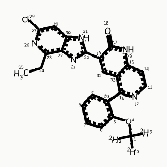 [2H]C([2H])([2H])Oc1ccccc1-c1nccc2[nH]c(=O)c(-c3nc4c(CC)nc(Cl)cc4[nH]3)cc12